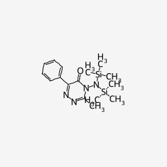 Cc1nnc(-c2ccccc2)c(=O)n1N([Si](C)(C)C)[Si](C)(C)C